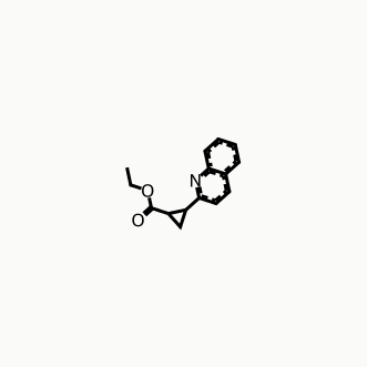 CCOC(=O)C1CC1c1ccc2ccccc2n1